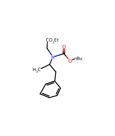 CCCCOC(=O)N(CC(=O)OCC)C(C)Cc1ccccc1